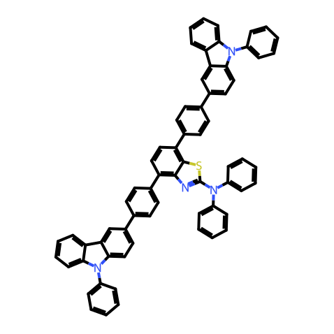 c1ccc(N(c2ccccc2)c2nc3c(-c4ccc(-c5ccc6c(c5)c5ccccc5n6-c5ccccc5)cc4)ccc(-c4ccc(-c5ccc6c(c5)c5ccccc5n6-c5ccccc5)cc4)c3s2)cc1